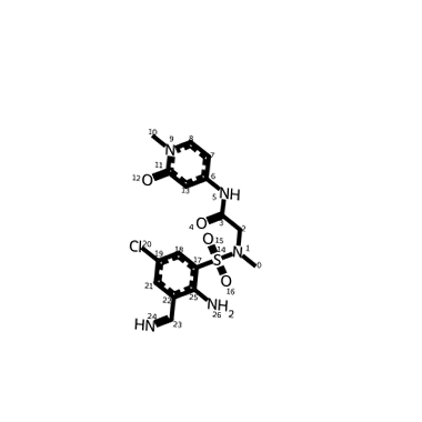 CN(CC(=O)Nc1ccn(C)c(=O)c1)S(=O)(=O)c1cc(Cl)cc(C=N)c1N